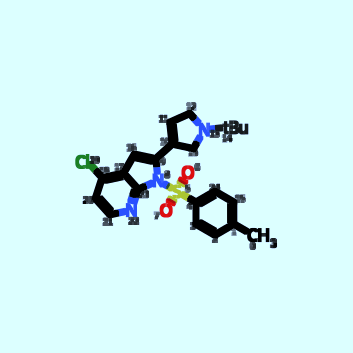 Cc1ccc(S(=O)(=O)n2c(C3=CCN(C(C)(C)C)C3)cc3c(Cl)ccnc32)cc1